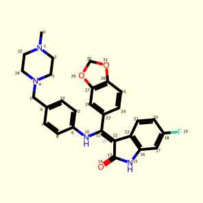 CN1CCN(Cc2ccc(N/C(=C3\C(=O)Nc4cc(F)ccc43)c3ccc4c(c3)OCO4)cc2)CC1